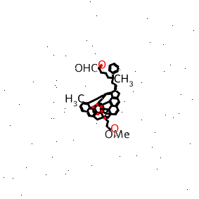 COC(=O)CCC[C@]1(c2ccccc2)C23C=Cc4cc5c6c(c7c8c9c(c%10c%11c(cc%12ccc(C)c-7c%12c%118)CC%10=C2)C31c4c69)/C(=C\CC(C)(CCCC(=O)C=O)c1ccccc1)C5